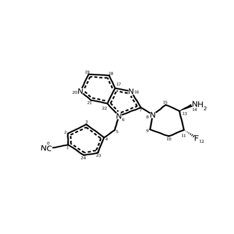 N#Cc1ccc(Cn2c(N3CC[C@@H](F)[C@H](N)C3)nc3ccncc32)cc1